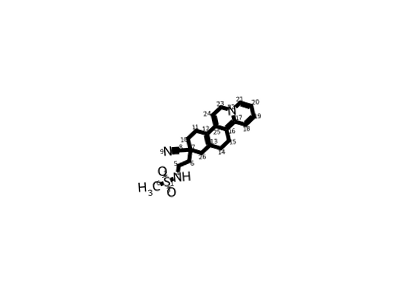 CS(=O)(=O)NCCC1(C#N)CCC2=C(CCC3=C4C=CC=CN4CC=C23)C1